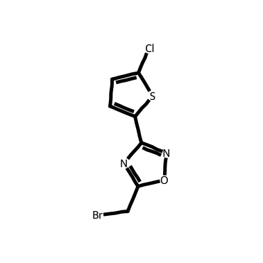 Clc1ccc(-c2noc(CBr)n2)s1